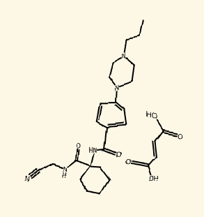 CCCN1CCN(c2ccc(C(=O)NC3(C(=O)NCC#N)CCCCC3)cc2)CC1.O=C(O)C=CC(=O)O